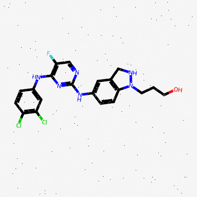 OCCCN1NCc2cc(Nc3ncc(F)c(Nc4ccc(Cl)c(Cl)c4)n3)ccc21